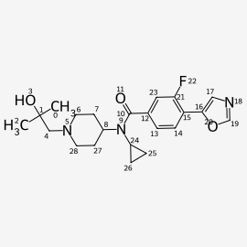 CC(C)(O)CN1CCC(N(C(=O)c2ccc(-c3cnco3)c(F)c2)C2CC2)CC1